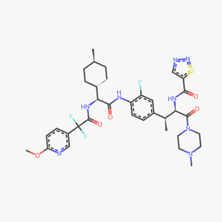 COc1ccc(C(F)(F)C(=O)N[C@H](C(=O)Nc2ccc([C@H](C)[C@@H](NC(=O)c3cnns3)C(=O)N3CCN(C)CC3)cc2F)[C@H]2CC[C@H](C)CC2)cn1